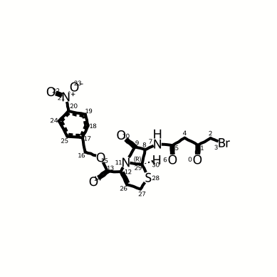 O=C(CBr)CC(=O)NC1C(=O)N2C(C(=O)OCc3ccc([N+](=O)[O-])cc3)=CCS[C@H]12